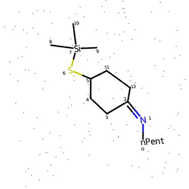 CCCCCN=C1CCC(S[Si](C)(C)C)CC1